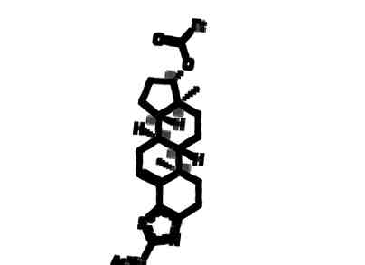 CCC(=O)O[C@H]1CC[C@H]2[C@@H]3CC=C4c5sc(NC(C)=O)nc5CC[C@]4(C)[C@H]3CC[C@]12C